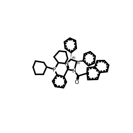 O=C(c1ccc2ccccc2c1)N1C(c2ccccc2P(C2CCCCC2)C2CCCCC2)=N[C@H](c2ccccc2)[C@H]1c1ccccc1